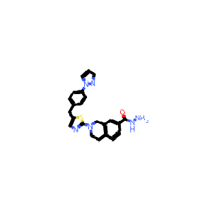 NNC(=O)c1ccc2c(c1)CN(c1ncc(Cc3ccc(-n4cccn4)cc3)s1)CC2